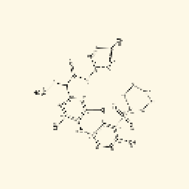 O=C(O)CN(C(=O)Oc1ccc(O)cc1)c1cc(Cl)c(Oc2ccc(O)c(S(=O)(=O)N3CCOCC3)c2)c(Cl)c1